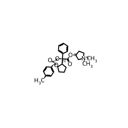 Cc1ccc(S(=O)(=O)O[C@](C(=O)O[C@@H]2CC[N+](C)(C)C2)(c2ccccc2)C2CCCC2)cc1